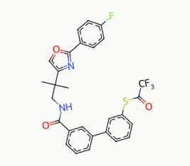 CC(C)(CNC(=O)c1cccc(-c2cccc(SC(=O)C(F)(F)F)c2)c1)c1coc(-c2ccc(F)cc2)n1